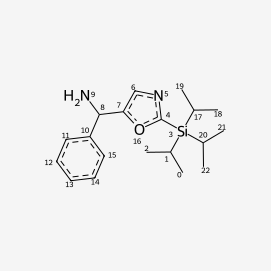 CC(C)[Si](c1ncc(C(N)c2ccccc2)o1)(C(C)C)C(C)C